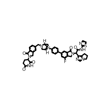 O=C1CCC(N2Cc3cc(CN4C[C@@H]5C[C@H]4CN5c4ccc(-c5cc(F)c6c(c5)C(=O)N(C(C(=O)Nc5nccs5)c5ncn7c5CCC7)C6)cc4)ccc3C2=O)C(=O)N1